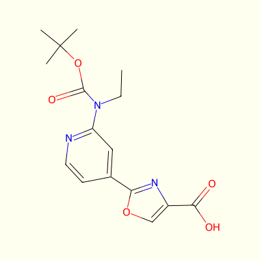 CCN(C(=O)OC(C)(C)C)c1cc(-c2nc(C(=O)O)co2)ccn1